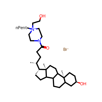 CCCCC[N+]1(CCO)CCN(C(=O)CC[C@@H](C)[C@H]2CCC3C4CCC5C[C@H](O)CC[C@]5(C)C4CC[C@@]32C)CC1.[Br-]